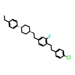 CCc1ccc([C@H]2CC[C@H](CCc3ccc(CCc4ccc(Cl)cc4)c(F)c3)CC2)cc1